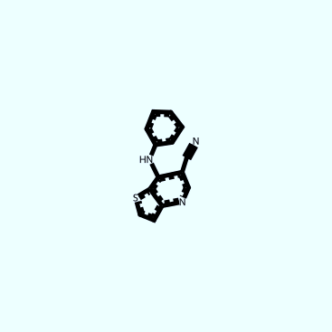 N#Cc1cnc2ccsc2c1Nc1ccccc1